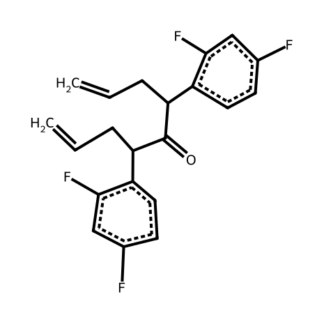 C=CCC(C(=O)C(CC=C)c1ccc(F)cc1F)c1ccc(F)cc1F